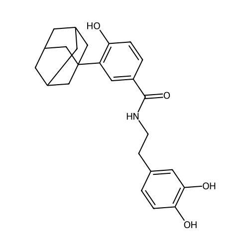 O=C(NCCc1ccc(O)c(O)c1)c1ccc(O)c(C23CC4CC(CC(C4)C2)C3)c1